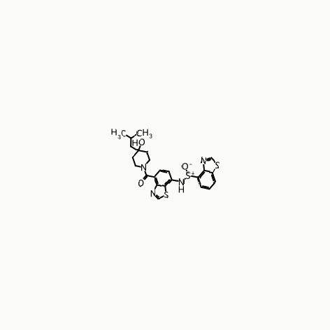 CC(C)CC1(O)CCN(C(=O)c2ccc(N[S+]([O-])c3cccc4scnc34)c3scnc23)CC1